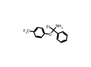 CCC(N)(Oc1ccc(C(F)(F)F)cc1)c1ccccc1